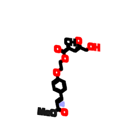 C=C(CC(=O)CO)C(=O)OCCOc1ccc(/C=C/C(=O)OC)cc1